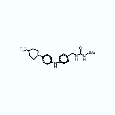 CC(C)(C)NC(=O)NCc1ccc(Nc2ccc(N3CCC(C(F)(F)F)CC3)cc2)cc1